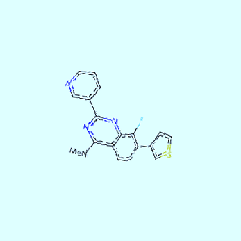 CNc1nc(-c2cccnc2)nc2c(F)c(-c3ccsc3)ccc12